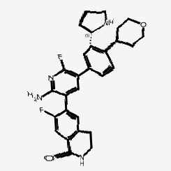 Nc1nc(F)c(-c2ccc(C3CCOCC3)c([C@@H]3CCCN3)c2)cc1-c1cc2c(cc1F)C(=O)NCC2